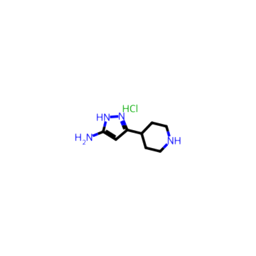 Cl.Nc1cc(C2CCNCC2)n[nH]1